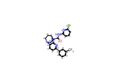 O=C(Nc1cccc(Br)n1)N1c2nc(-c3cccc(C(F)(F)F)c3)ccc2N2CCC1CC2